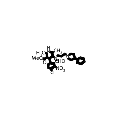 COC(=O)C1=C(C)NC(C)=C(N(C=O)CCCN2CCC(c3ccccc3)CC2)C1c1ccc(Cl)c([N+](=O)[O-])c1